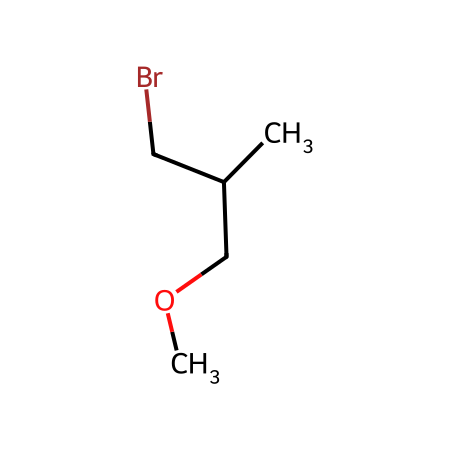 COCC(C)CBr